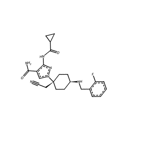 N#CC[C@]1(n2cc(C(N)=O)c(NC(=O)C3CC3)n2)CC[C@H](NCc2ccccc2F)CC1